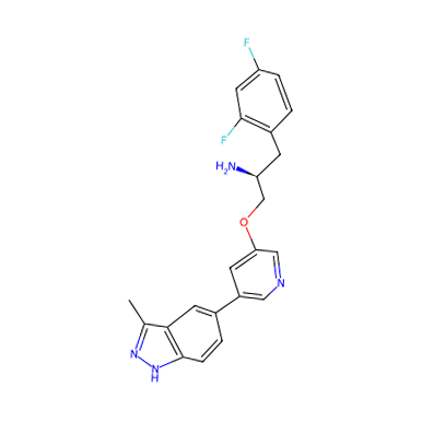 Cc1n[nH]c2ccc(-c3cncc(OC[C@@H](N)Cc4ccc(F)cc4F)c3)cc12